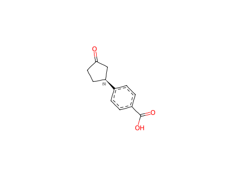 O=C1CC[C@H](c2ccc(C(=O)O)cc2)C1